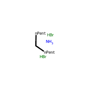 Br.Br.CCCCCCCCCCC.N